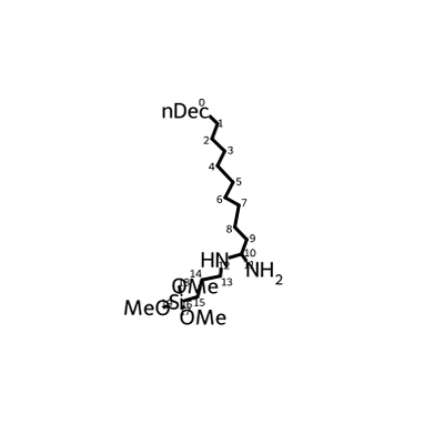 CCCCCCCCCCCCCCCCCCCC(N)NCCC[Si](OC)(OC)OC